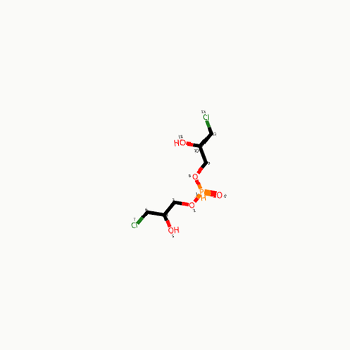 O=[PH](OCC(O)CCl)OCC(O)CCl